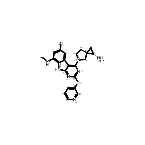 CNc1cc(Cl)cc2c1[nH]c1nc(Oc3cccnc3)nc(N3CC[C@]4(C[C@@H]4N)C3)c12